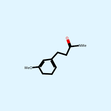 CNC(=O)CCC1=CCCC(OC)=C1